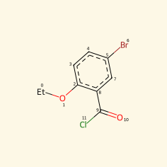 CCOc1ccc(Br)cc1C(=O)Cl